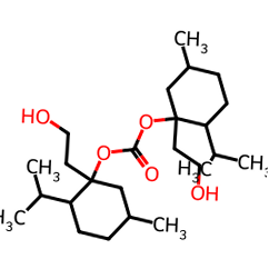 CC1CCC(C(C)C)C(CCO)(OC(=O)OC2(CCO)CC(C)CCC2C(C)C)C1